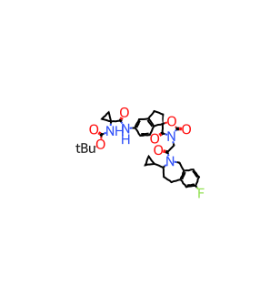 CC(C)(C)OC(=O)NC1(C(=O)Nc2ccc3c(c2)CC[C@]32OC(=O)N(CC(=O)N3Cc4ccc(F)cc4CCC3C3CC3)C2=O)CC1